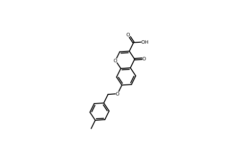 Cc1ccc(COc2ccc3c(=O)c(C(=O)O)coc3c2)cc1